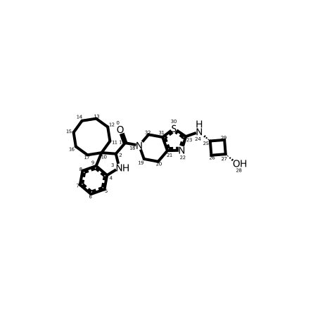 O=C(C1Nc2ccccc2C12CCCCCCC2)N1CCc2nc(N[C@H]3C[C@@H](O)C3)sc2C1